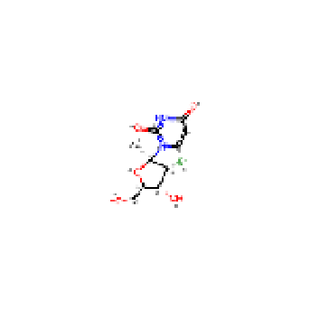 CC(=O)[C@@]1(n2ccc(=O)[nH]c2=O)O[C@H](CO)[C@@H](O)[C@H]1Br